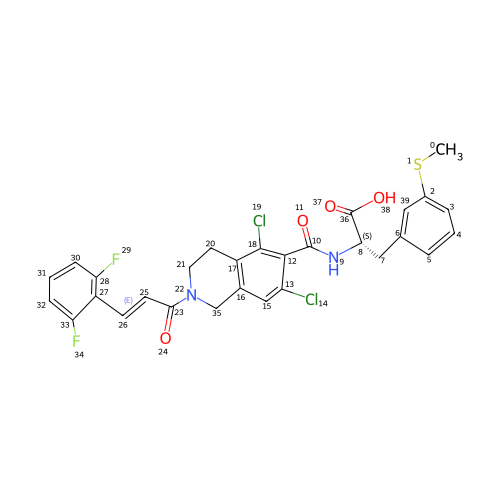 CSc1cccc(C[C@H](NC(=O)c2c(Cl)cc3c(c2Cl)CCN(C(=O)/C=C/c2c(F)cccc2F)C3)C(=O)O)c1